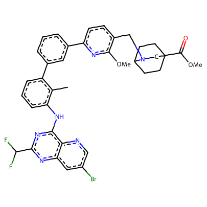 COC(=O)C12CCC(CC1)N(Cc1ccc(-c3cccc(-c4cccc(Nc5nc(C(F)F)nc6cc(Br)cnc56)c4C)c3)nc1OC)C2